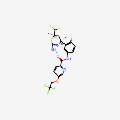 C[C@]1(C(F)F)C[C@@](C)(c2cc(NC(=O)c3ccc(OCC(F)(F)F)cn3)ccc2F)N=C(N)S1